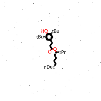 CCCCCCCCCCCCCCC(CCC)OC(=O)CCc1cc(C(C)(C)C)c(O)c(C(C)(C)C)c1